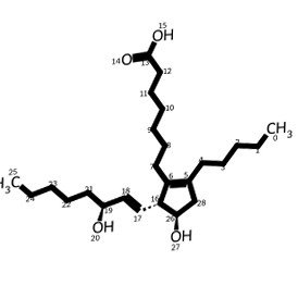 CCCCCC1=C(CCCCCCC(=O)O)[C@@H](C=C[C@@H](O)CCCCC)[C@H](O)C1